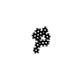 c1ccc(-c2ccc3c(c2)c2cc4ccccc4cc2n3-c2nc(-c3cc4c(c5ccccc35)c3ccccc3n4-c3ccccc3)c3ccccc3n2)cc1